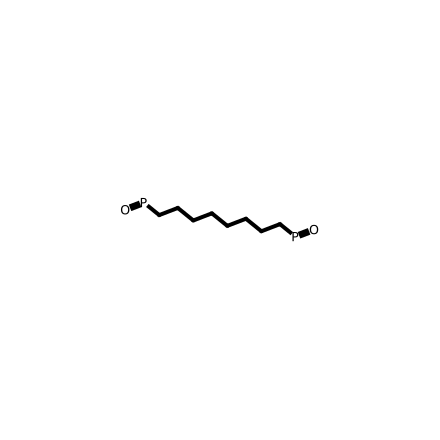 O=PCCCCCCCCP=O